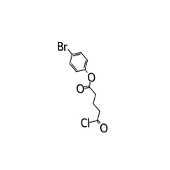 O=C(Cl)CCCC(=O)Oc1ccc(Br)cc1